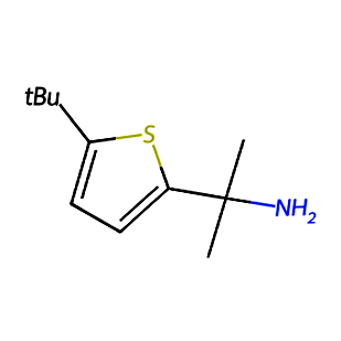 CC(C)(C)c1ccc(C(C)(C)N)s1